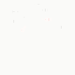 CCc1ccc(-c2ccc(Cl)c(F)c2)cc1C1=C(O)C(C)(C)CC(C)(C)C1=O